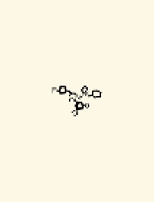 COc1cc(OC)cc(C(=O)N(C/C(C)=C/c2ccc(F)cc2)C[C@@H]2CCCN2CC2CCCCC2)c1